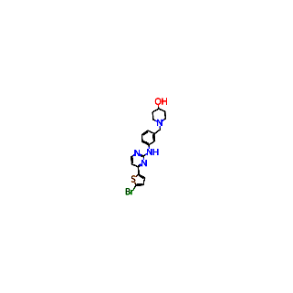 OC1CCN(Cc2cccc(Nc3nccc(-c4ccc(Br)s4)n3)c2)CC1